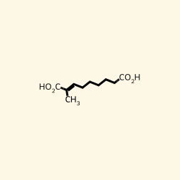 CC(=CCCCCCC(=O)O)C(=O)O